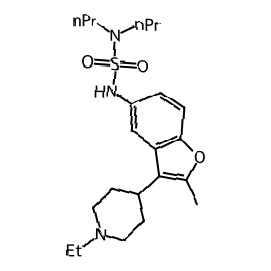 CCCN(CCC)S(=O)(=O)Nc1ccc2oc(C)c(C3CCN(CC)CC3)c2c1